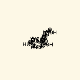 CC(Oc1ccccc1N(CC(=O)O)CC(=O)O)Oc1cc2cc(C3=NCC(C(=O)O)O3)oc2cc1N(CC(=O)O)CC(=O)O